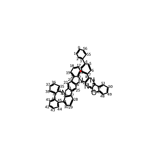 c1ccc(-c2ccc(-c3nc4c(nc3-n3c5ccccc5c5cc6c(cc53)c3cccc5c3n6-c3ccccc3-c3ccccc3-5)oc3ccccc34)cc2)cc1